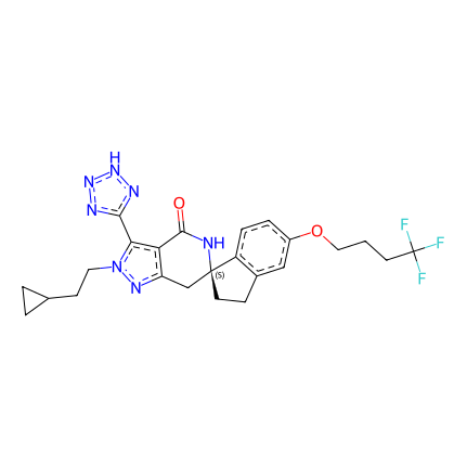 O=C1N[C@@]2(CCc3cc(OCCCC(F)(F)F)ccc32)Cc2nn(CCC3CC3)c(-c3nn[nH]n3)c21